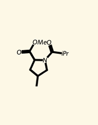 COC(=O)C1CC(C)CN1C(=O)C(C)C